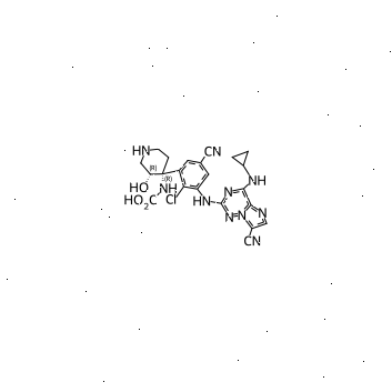 N#Cc1cc(Nc2nc(NC3CC3)c3ncc(C#N)n3n2)c(Cl)c([C@]2(NC(=O)O)CCNC[C@H]2O)c1